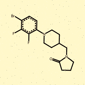 O=C1CCCN1CC1CCN(c2ccc(Br)c(F)c2F)CC1